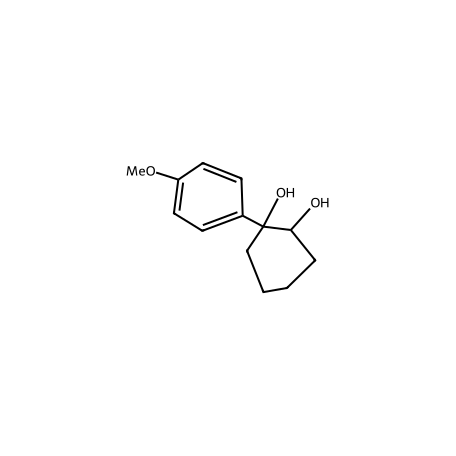 COc1ccc(C2(O)CCCCC2O)cc1